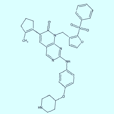 CC1=C(c2cc3cnc(Nc4ccc(OC5CCNCC5)cc4)nc3n(Cc3ccoc3S(=O)(=O)c3ccccc3)c2=O)CCC1